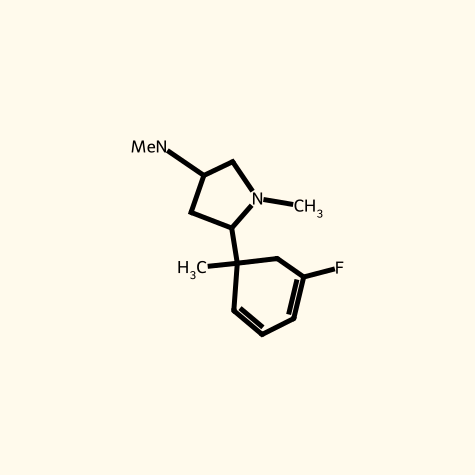 CNC1CC(C2(C)C=CC=C(F)C2)N(C)C1